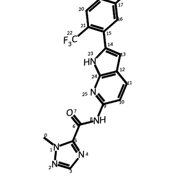 Cn1ncnc1C(=O)Nc1ccc2cc(-c3cc(Cl)ccc3C(F)(F)F)[nH]c2n1